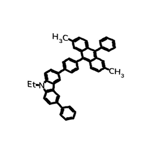 CCn1c2ccc(-c3ccccc3)cc2c2cc(-c3ccc(-c4c5ccc(C)cc5c(-c5ccccc5)c5ccc(C)cc45)cc3)ccc21